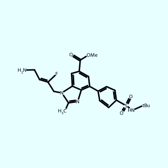 COC(=O)c1cc(-c2ccc(S(=O)(=O)NC(C)(C)C)cc2)c2nc(C)n(C/C(F)=C/CN)c2c1